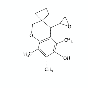 Cc1c(C)c2c(c(C)c1O)C(C1CO1)C1(CCC1)CO2